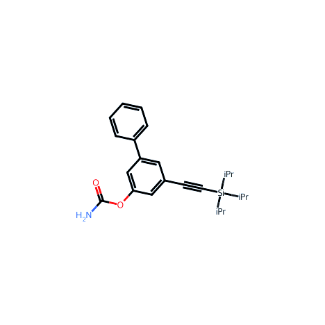 CC(C)[Si](C#Cc1cc(OC(N)=O)cc(-c2ccccc2)c1)(C(C)C)C(C)C